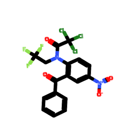 O=C(c1ccccc1)c1cc([N+](=O)[O-])ccc1N(CC(F)(F)F)C(=O)C(Cl)(Cl)Cl